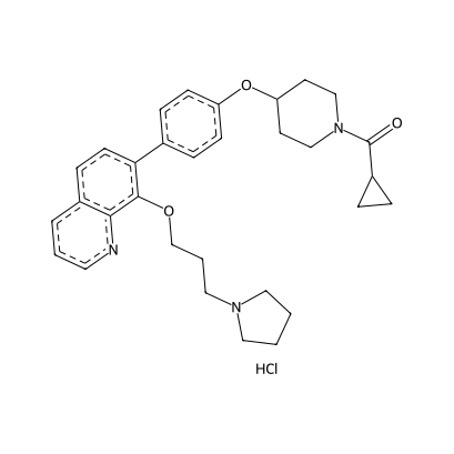 Cl.O=C(C1CC1)N1CCC(Oc2ccc(-c3ccc4cccnc4c3OCCCN3CCCC3)cc2)CC1